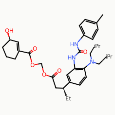 CC[C@@H](CC(=O)OCOC(=O)C1=C[C@H](O)CCC1)c1ccc(N(CC(C)C)CC(C)C)c(NC(=O)Nc2ccc(C)cc2)c1